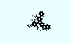 Cc1cc(C)c(B2c3cc(C)c(-c4ccccc4)cc3-c3cc(-c4ccccc4)c(C)cc32)c(C)c1